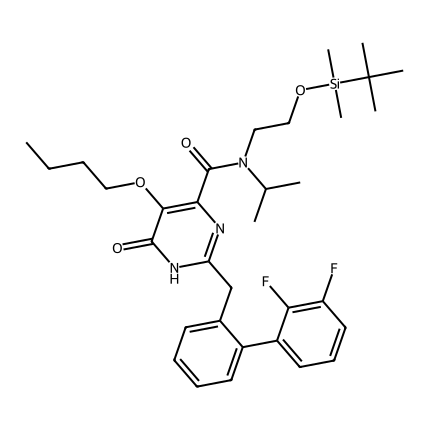 CCCCOc1c(C(=O)N(CCO[Si](C)(C)C(C)(C)C)C(C)C)nc(Cc2ccccc2-c2cccc(F)c2F)[nH]c1=O